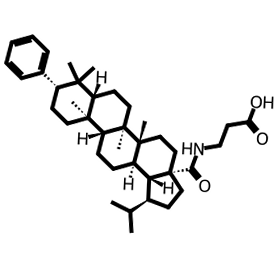 CC(C)[C@@H]1CC[C@]2(C(=O)NCCC(=O)O)CC[C@]3(C)[C@H](CC[C@@H]4[C@@]5(C)CC[C@H](c6ccccc6)C(C)(C)[C@@H]5CC[C@]43C)[C@@H]12